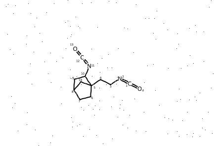 O=C=NCCC12CCC(CC1N=C=O)C2